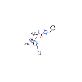 CC(CCn1nc(CCN2CCC2)cc1N(C)C=O)NC(=O)c1ncn(Cc2ccccc2)n1